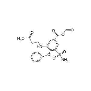 CC(=O)CCNc1cc(C(=O)OC=O)cc(S(N)(=O)=O)c1Oc1ccccc1